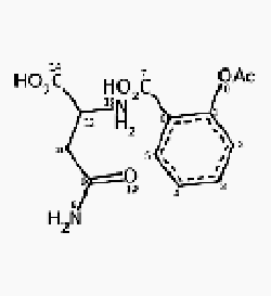 CC(=O)Oc1ccccc1C(=O)O.NC(=O)CC(N)C(=O)O